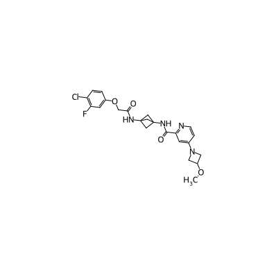 COC1CN(c2ccnc(C(=O)NC34CC(NC(=O)COc5ccc(Cl)c(F)c5)(C3)C4)c2)C1